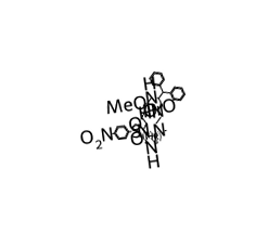 COC(=O)NC(C(=O)NCCN(C)[C@@H]1CNC[C@H]1N(CCC(C)C)S(=O)(=O)c1ccc([N+](=O)[O-])cc1)C(c1ccccc1)c1ccccc1